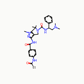 CCC(=O)Nc1ccc(C(=O)Nc2nn(C)c3c2CN(C(=O)NC(CN(C)C)c2ccccc2)C3(C)C)cc1